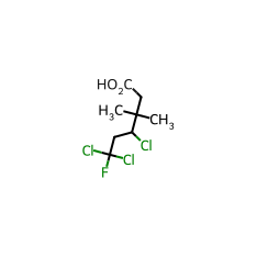 CC(C)(CC(=O)O)C(Cl)CC(F)(Cl)Cl